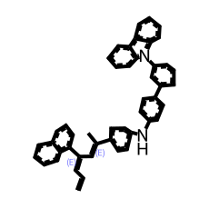 C=C/C=C(\C=C(/C)c1ccc(Nc2ccc(-c3cccc(-n4c5ccccc5c5ccccc54)c3)cc2)cc1)c1cccc2ccccc12